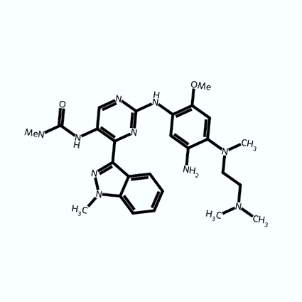 CNC(=O)Nc1cnc(Nc2cc(N)c(N(C)CCN(C)C)cc2OC)nc1-c1nn(C)c2ccccc12